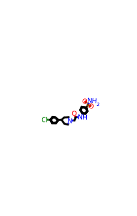 NS(=O)(=O)c1ccc(NC(=O)CN2CCC(c3ccc(Cl)cc3)CC2)cc1